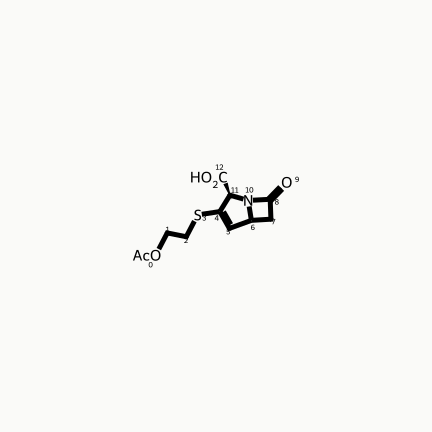 CC(=O)OCCSC1=CC2CC(=O)N2[C@@H]1C(=O)O